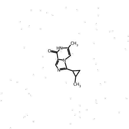 Cc1cn2c(C3CC3C)ncc2c(=O)[nH]1